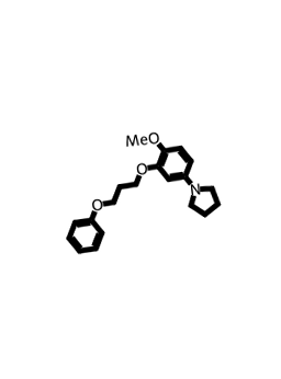 COc1ccc(N2CCCC2)cc1OCCCOc1ccccc1